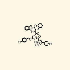 CS(=O)(=O)N[C@H](CC=C1CCNCC1)C(=O)N1C[C@H](OCc2ccc(Cl)cc2)C[C@H]1C(=O)N[C@@H](CC1CCCCC1)C(=O)c1nc2ccccc2o1